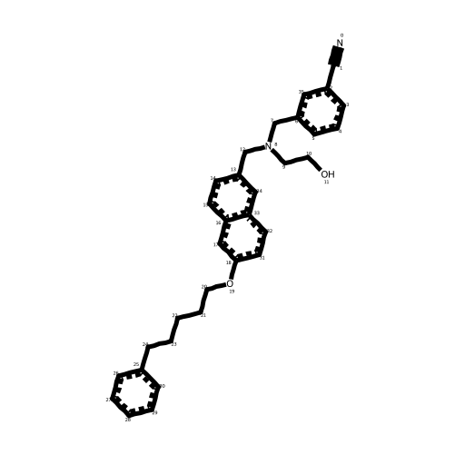 N#Cc1cccc(CN(CCO)Cc2ccc3cc(OCCCCCc4ccccc4)ccc3c2)c1